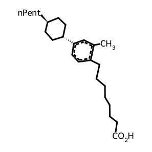 CCCCC[C@H]1CC[C@H](c2ccc(CCCCCCCC(=O)O)c(C)c2)CC1